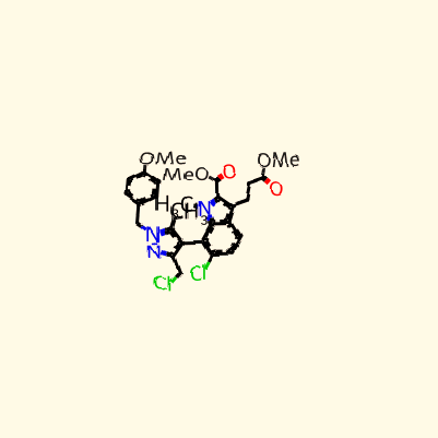 COC(=O)CCc1c(C(=O)OC)n(C)c2c(-c3c(CCl)nn(Cc4ccc(OC)cc4)c3C)c(Cl)ccc12